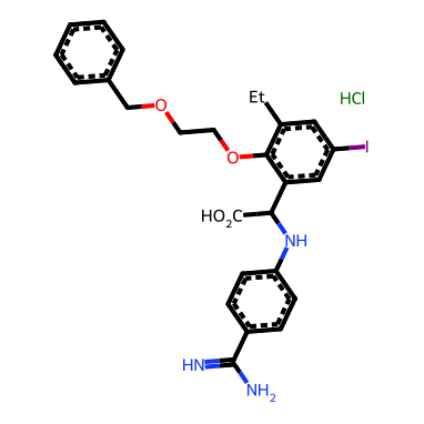 CCc1cc(I)cc(C(Nc2ccc(C(=N)N)cc2)C(=O)O)c1OCCOCc1ccccc1.Cl